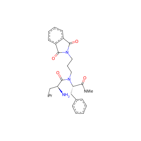 CNC(=O)[C@H](Cc1ccccc1)N(CCCN1C(=O)c2ccccc2C1=O)C(=O)[C@@H](N)CC(C)C